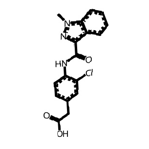 Cn1nc(C(=O)Nc2ccc(CC(=O)O)cc2Cl)c2ccccc21